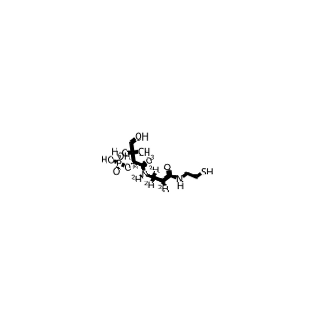 [2H]C(C(=O)NCCS)C([2H])([2H])N([2H])C(=O)[C@H](OP(=O)(O)O)C(C)(C)CO